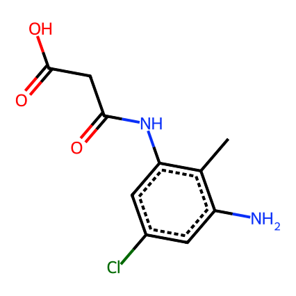 Cc1c(N)cc(Cl)cc1NC(=O)CC(=O)O